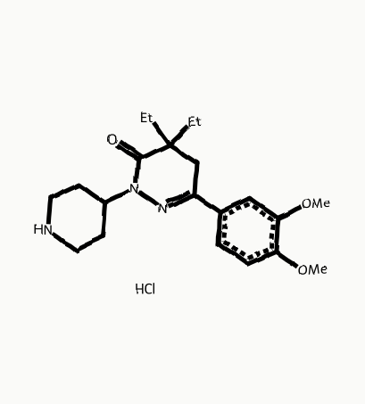 CCC1(CC)CC(c2ccc(OC)c(OC)c2)=NN(C2CCNCC2)C1=O.Cl